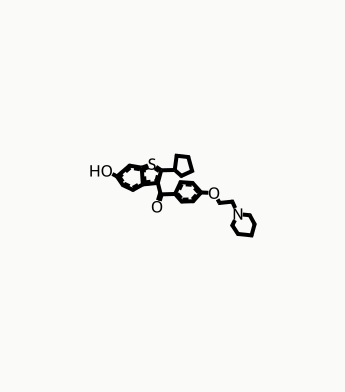 O=C(c1ccc(OCCN2CCCCC2)cc1)c1c(C2CCCC2)sc2cc(O)ccc12